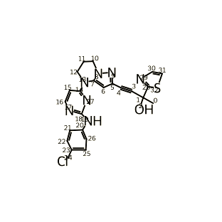 CC(O)(C#Cc1cc2n(n1)CCCN2c1ccnc(Nc2ccc(Cl)cc2)n1)c1nccs1